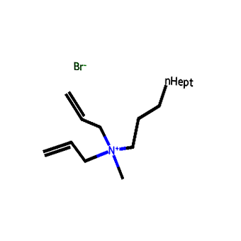 C=CC[N+](C)(CC=C)CCCCCCCCCC.[Br-]